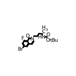 C[C@@H](CCCn1ccc2cc(Br)cc(F)c2c1=O)NC(=O)OC(C)(C)C